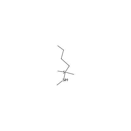 CCCC[Si](C)(C)[SiH]C